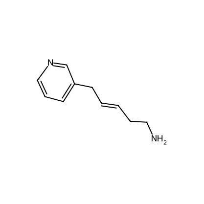 NCCC=CCc1cccnc1